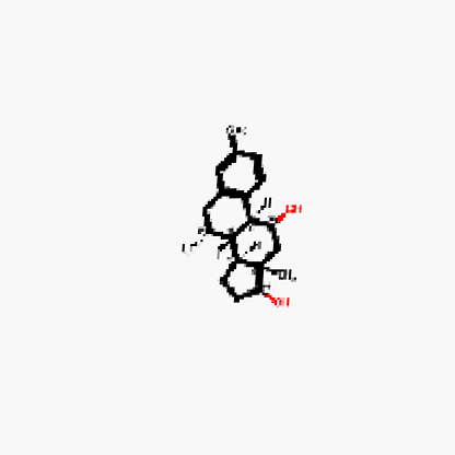 CC(=O)Oc1ccc2c(c1)C[C@@H](C)[C@@H]1[C@@H]2[C@@H](O)C[C@]2(C)[C@@H](O)CC[C@@H]12